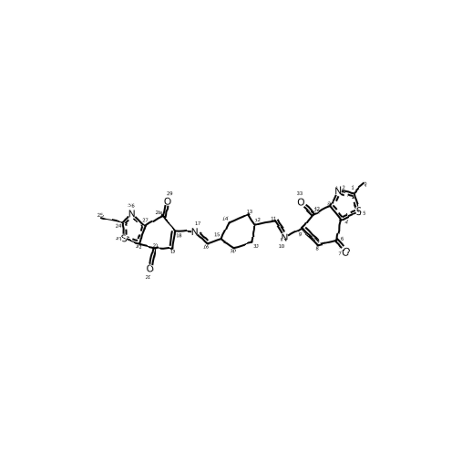 Cc1nc2c(s1)C(=O)C=C(N=CC1CCC(C=NC3=CC(=O)c4sc(C)nc4C3=O)CC1)C2=O